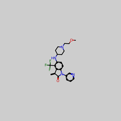 C=C1C(=O)N(c2cccnc2)c2ccc(NC3CCN(CCOC)CC3)c(C(F)(F)F)c21